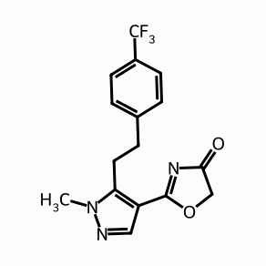 Cn1ncc(C2=NC(=O)CO2)c1CCc1ccc(C(F)(F)F)cc1